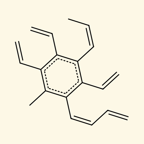 C=C/C=C\c1c(C)c(C=C)c(C=C)c(/C=C\C)c1C=C